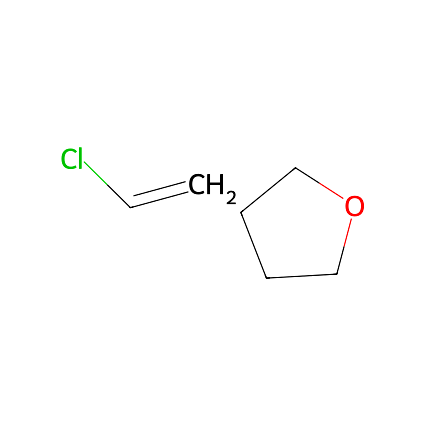 C1CCOC1.C=CCl